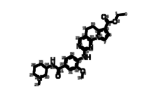 CCOC(=O)c1ccn2c1CCc1cnc(Nc3ccc(C(=O)NC4CCCN(C)C4)cc3OC)nc1-2